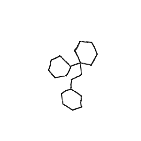 C1CCC(CCC2(C3CCCCC3)CCCCC2)CC1